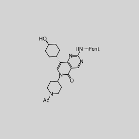 CCCC(C)Nc1ncc2c(=O)n(C3CCN(C(C)=O)CC3)cc([C@H]3CC[C@H](O)CC3)c2n1